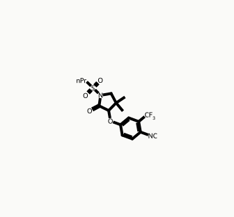 [C-]#[N+]c1ccc(OC2C(=O)N(S(=O)(=O)CCC)CC2(C)C)cc1C(F)(F)F